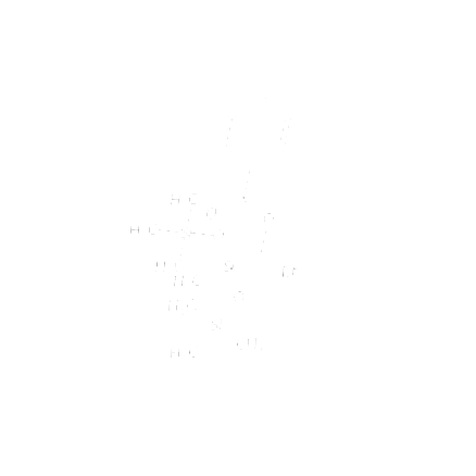 CCC(OC(=O)c1ccccc1)[Si](C)(O[Si](C)(C)C)O[Si](C)(C)C